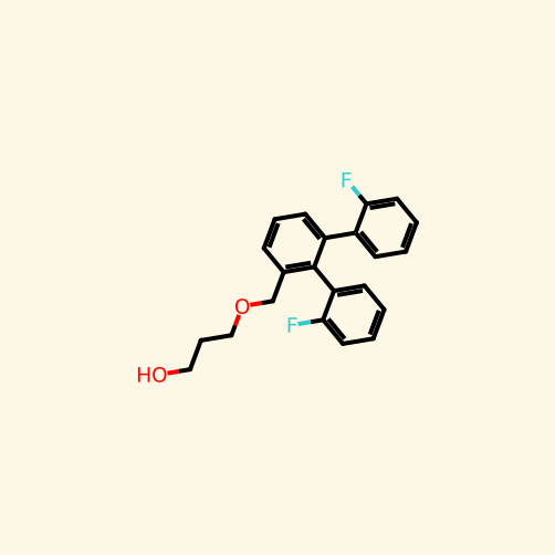 OCCCOCc1cccc(-c2ccccc2F)c1-c1ccccc1F